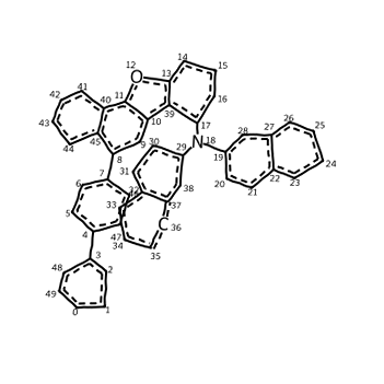 c1ccc(-c2ccc(-c3cc4c(oc5cccc(N(c6ccc7ccccc7c6)c6ccc7ccccc7c6)c54)c4ccccc34)cc2)cc1